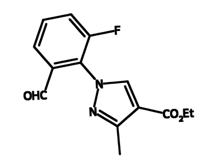 CCOC(=O)c1cn(-c2c(F)cccc2C=O)nc1C